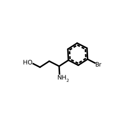 NC(CCO)c1cccc(Br)c1